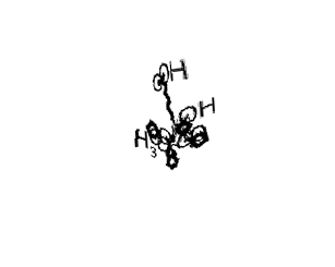 CC(C=C[C@@H]1[C@@H](CC=CCCCC(=O)O)[C@@H](O)C[C@H]1OC1CCCCO1)(OC1CCCCO1)c1cc2ccccc2s1